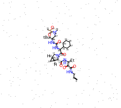 C=CCNC(=O)C(=O)C(CC)NC(=O)[C@@H]1[C@H]2C[C@H]2CN1C(=O)[C@@H](NC(=O)N[C@H](CN(C)S(C)(=O)=O)C(C)(C)C)C1CCCCC1